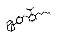 CCCCc1nccc(Oc2ccc(C34CC5CC(CC(C5)C3)C4)cc2)c1C(=O)O